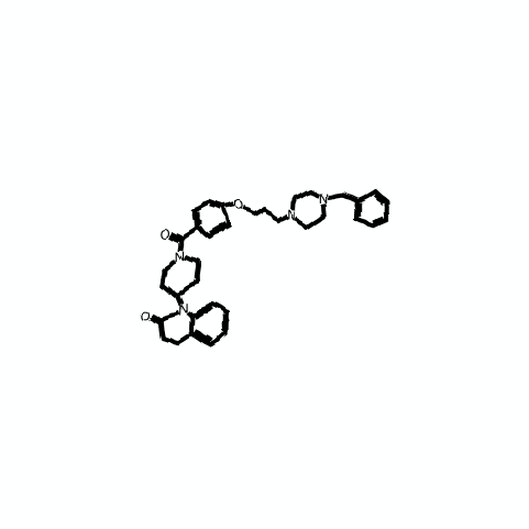 O=C(c1ccc(OCCCN2CCN(Cc3ccccc3)CC2)cc1)N1CCC(N2C(=O)CCc3ccccc32)CC1